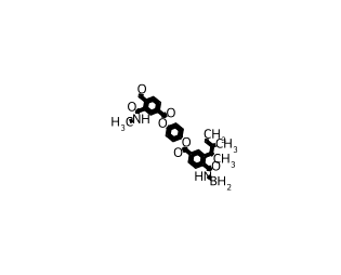 BNC(=O)c1ccc(C(=O)Oc2ccc(OC(=O)c3ccc(C=O)c(C(=O)NC)c3)cc2)cc1C(C)C(C)CC